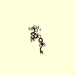 CNC(=O)c1csc2c(C(F)(F)F)cc(OC3CCN(C(=O)OCCC#N)CC3)nc12